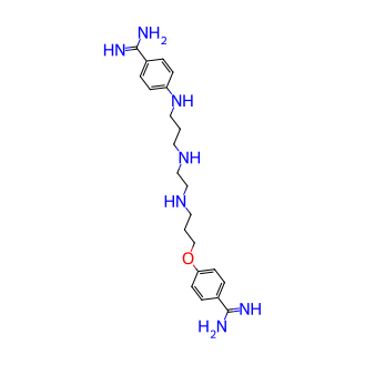 N=C(N)c1ccc(NCCCNCCNCCCOc2ccc(C(=N)N)cc2)cc1